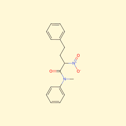 CN(C(=O)C(CCc1ccccc1)[N+](=O)[O-])c1ccccc1